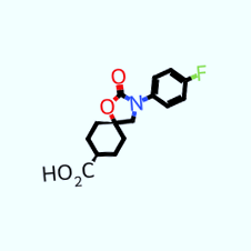 O=C1O[C@]2(CC[C@H](C(=O)O)CC2)CN1c1ccc(F)cc1